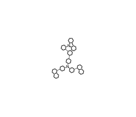 c1cc(-c2ccc(N(c3ccc(-c4cccc5ccccc45)cc3)c3cccc(-c4cccc5ccccc45)c3)cc2)cc(-c2ccccc2-n2c3ccccc3c3ccccc32)c1